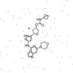 O=C(NC12CC(C1)C2)O[C@H]1CO[C@@H](c2cc(Nc3nc(N4CCOCC4)cc4nccn34)n[nH]2)[C@@H]1F